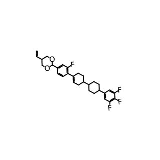 C=CC1COC(c2ccc(C3=CCC(C4CCC(c5cc(F)c(F)c(F)c5)CC4)CC3)c(F)c2)OC1